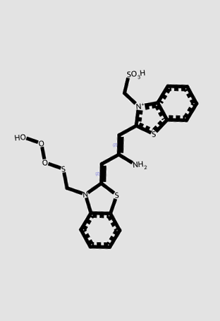 NC(=C\c1sc2ccccc2[n+]1CS(=O)(=O)O)/C=C1\Sc2ccccc2N1CSOOO